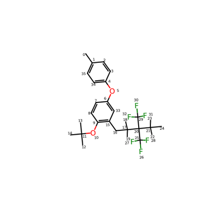 Cc1ccc(Oc2ccc(OC(C)(C)C)c(CC(C)(C)C(C(C)(C)C)(C(F)(F)F)C(F)(F)F)c2)cc1